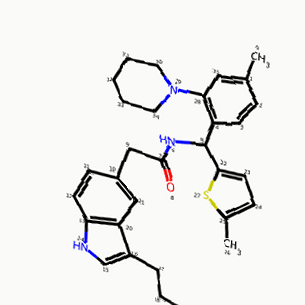 Cc1ccc(C(NC(=O)Cc2ccc3[nH]cc(CCC(=O)O)c3c2)c2ccc(C)s2)c(N2CCCCC2)c1